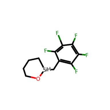 Fc1c(F)c(F)c(C[SiH]2CCCCO2)c(F)c1F